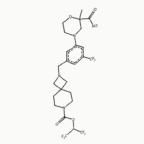 CC1(C(=O)N=O)CN(c2cc(CN3CC4(CCN(C(=O)OC(C(F)(F)F)C(F)(F)F)CC4)C3)cc(C(F)(F)F)c2)CCO1